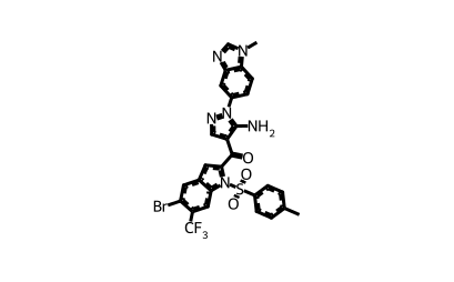 Cc1ccc(S(=O)(=O)n2c(C(=O)c3cnn(-c4ccc5c(c4)ncn5C)c3N)cc3cc(Br)c(C(F)(F)F)cc32)cc1